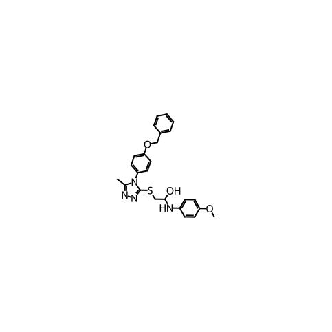 COc1ccc(NC(O)CSc2nnc(C)n2-c2ccc(OCc3ccccc3)cc2)cc1